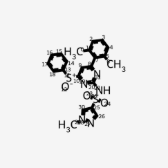 Cc1cccc(C)c1-c1cc([S+]([O-])c2ccccc2)nc(NS(=O)(=O)c2cnn(C)c2)n1